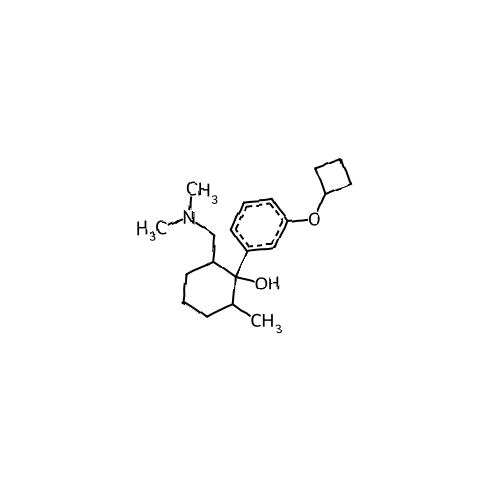 CC1CCCC(CN(C)C)C1(O)c1cccc(OC2CCC2)c1